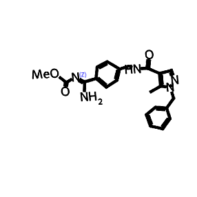 COC(=O)/N=C(\N)c1ccc(CNC(=O)c2cnn(Cc3ccccc3)c2C)cc1